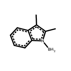 Bn1c(C)c(C)c2ccccc21